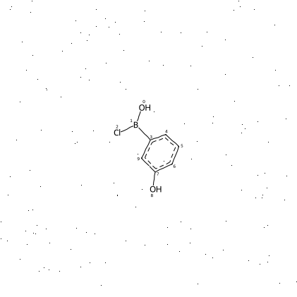 OB(Cl)c1cccc(O)c1